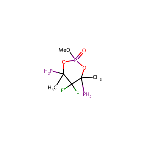 COP1(=O)OC(C)(P)C(F)(F)C(C)(P)O1